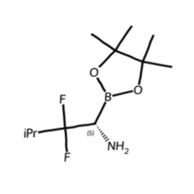 CC(C)C(F)(F)[C@@H](N)B1OC(C)(C)C(C)(C)O1